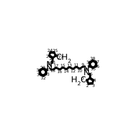 C=C1C=CC=C1/C=N/N(CCCCCCCCCCN(/N=C/C1=CC=CC1=C)c1ccccc1)c1ccccc1